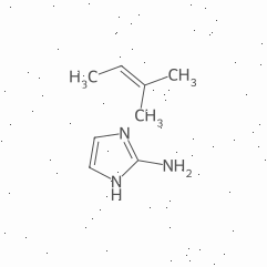 CC=C(C)C.Nc1ncc[nH]1